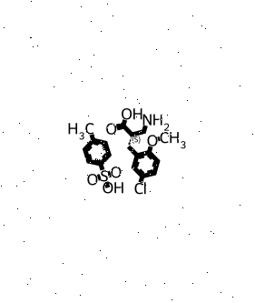 COc1ccc(Cl)cc1C[C@@H](CN)C(=O)O.Cc1ccc(S(=O)(=O)O)cc1